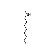 CCCCCCC[CH]NC